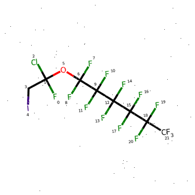 FC(Cl)(CI)OC(F)(F)C(F)(F)C(F)(F)C(F)(F)C(F)(F)C(F)(F)F